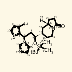 CC(C)(C)[Si](C)(C)OC(CC(c1sccc1I)n1ccnc1)[C@H]1CCN2C(=O)CC[C@H]2C1